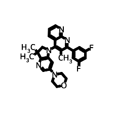 Cc1c(-c2cc(F)cc(F)c2)nc2ncccc2c1N1CC(C)(C)c2ncc(N3CCOCC3)cc21